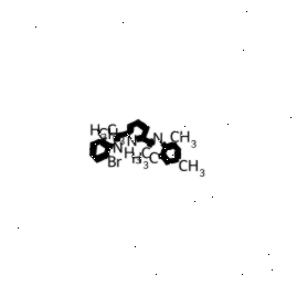 CC(=Nc1c(C)cc(C)cc1C)c1cccc(C(C)=Nc2c(C)cccc2Br)n1